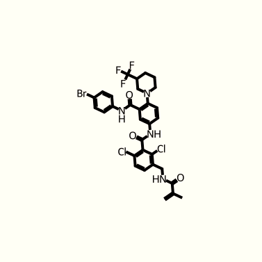 C=C(C)C(=O)NCc1ccc(Cl)c(C(=O)Nc2ccc(N3CCCC(C(F)(F)F)C3)c(C(=O)Nc3ccc(Br)cc3)c2)c1Cl